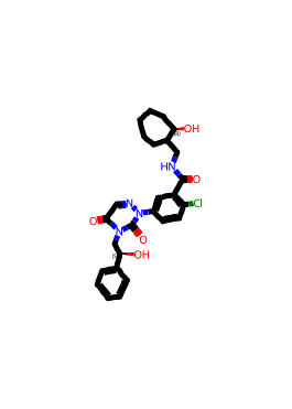 O=C(NCC1CCCCC[C@H]1O)c1cc(-n2ncc(=O)n(C[C@@H](O)c3ccccc3)c2=O)ccc1Cl